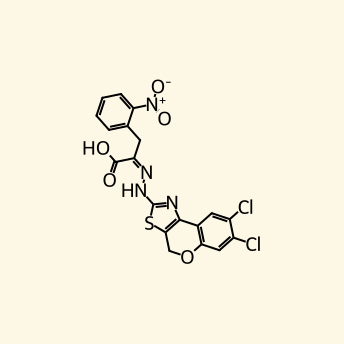 O=C(O)/C(Cc1ccccc1[N+](=O)[O-])=N\Nc1nc2c(s1)COc1cc(Cl)c(Cl)cc1-2